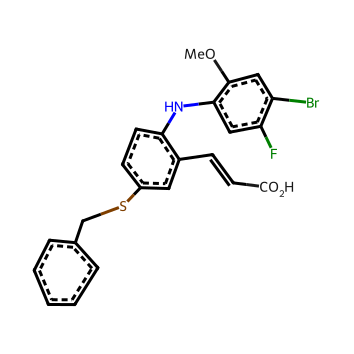 COc1cc(Br)c(F)cc1Nc1ccc(SCc2ccccc2)cc1C=CC(=O)O